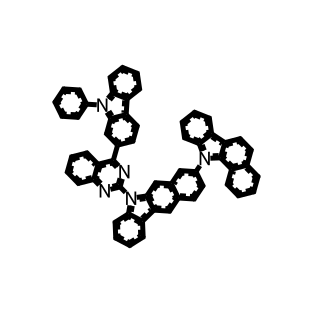 c1ccc(-n2c3ccccc3c3ccc(-c4nc(-n5c6ccccc6c6cc7ccc(-n8c9ccccc9c9ccc%10ccccc%10c98)cc7cc65)nc5ccccc45)cc32)cc1